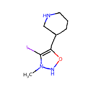 CN1NOC(C2CCCNC2)=C1I